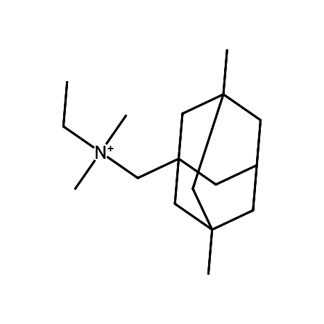 CC[N+](C)(C)CC12CC3CC(C)(CC(C)(C3)C1)C2